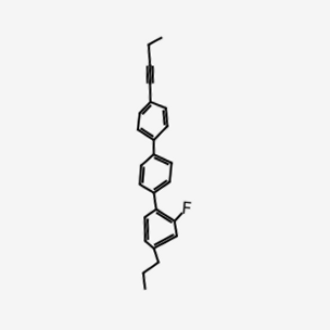 CCC#Cc1ccc(-c2ccc(-c3ccc(CCC)cc3F)cc2)cc1